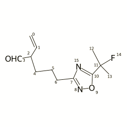 C=CC(C=O)CCCc1noc(C(C)(C)F)n1